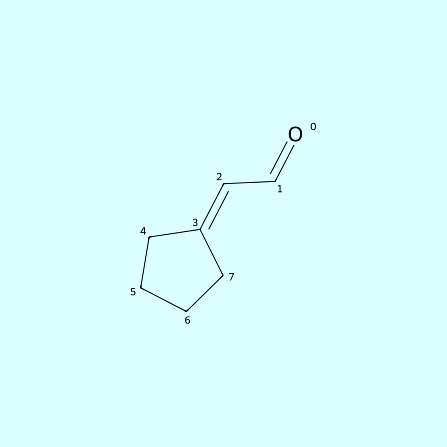 O=CC=C1CCCC1